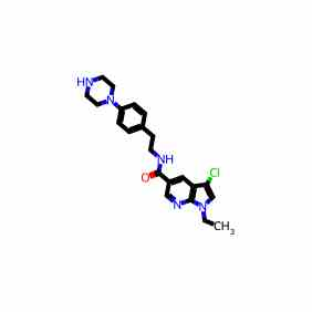 CCn1cc(Cl)c2cc(C(=O)NCCc3ccc(N4CCNCC4)cc3)cnc21